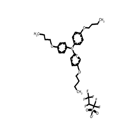 CCCCOc1ccc([S+](c2ccc(OCCCC)cc2)c2ccc(OCCCC)cc2)cc1.O=S(=O)([O-])C(F)(F)C(F)C(F)(F)F